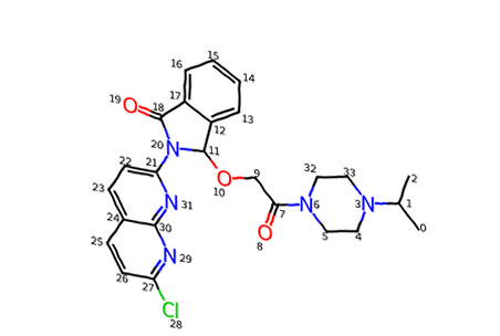 CC(C)N1CCN(C(=O)COC2c3ccccc3C(=O)N2c2ccc3ccc(Cl)nc3n2)CC1